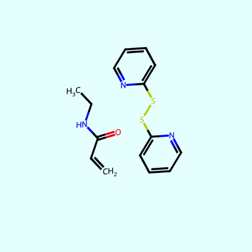 C=CC(=O)NCC.c1ccc(SSc2ccccn2)nc1